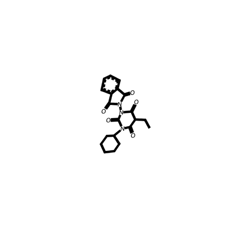 CCC1C(=O)N(C2CCCCC2)C(=O)N(N2C(=O)c3ccccc3C2=O)C1=O